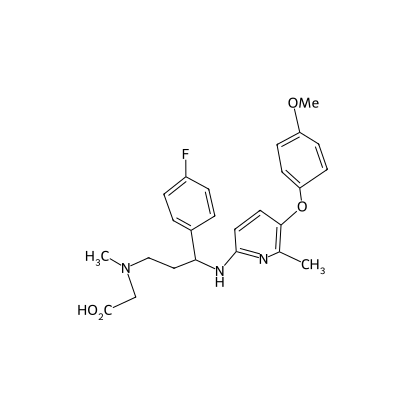 COc1ccc(Oc2ccc(NC(CCN(C)CC(=O)O)c3ccc(F)cc3)nc2C)cc1